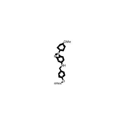 CCCCCCOc1ccc(CNc2ccc3c(c2)ncn3-c2ccc(OC)cc2)cc1